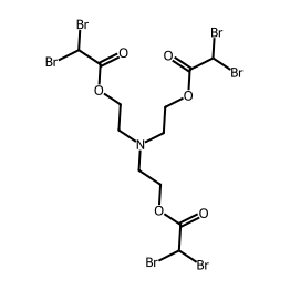 O=C(OCCN(CCOC(=O)C(Br)Br)CCOC(=O)C(Br)Br)C(Br)Br